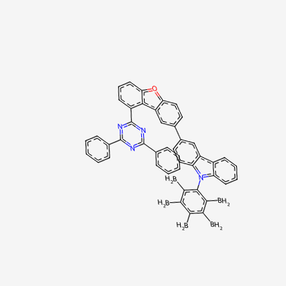 Bc1c(B)c(B)c(-n2c3ccccc3c3cc(-c4ccc5oc6cccc(-c7nc(-c8ccccc8)nc(-c8ccccc8)n7)c6c5c4)ccc32)c(B)c1B